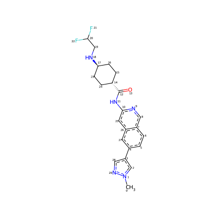 Cn1cc(-c2ccc3cnc(NC(=O)[C@H]4CC[C@H](NCC(F)F)CC4)cc3c2)cn1